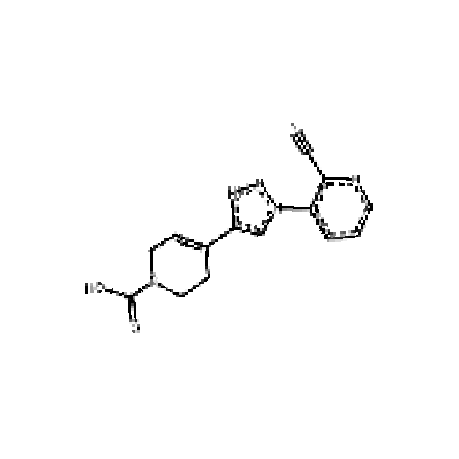 N#Cc1ncccc1-n1cc(C2=CCN(C(=O)O)CC2)nn1